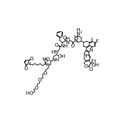 CC[C@@]1(O)C(=O)OCC2=C1C=C1c3nc4cc(F)c(C)c5c4c(c3CN1C2)CC(C(CNC(=O)CNC(=O)C(Cc1ccccc1)NC(=O)CNC(O)CNC(O)CN(CCOCCOCCOCCO)C(=O)CCCCCN1C(=O)C=CC1=O)CC(N)=O)C5